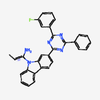 C/C=C(\N)n1c2ccccc2c2ccc(-c3nc(-c4ccccc4)nc(-c4cccc(F)c4)n3)cc21